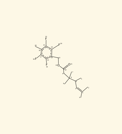 CC(C)=CC(C)C(C)(C)CC(=O)OCc1c(F)c(F)c(C)c(F)c1F